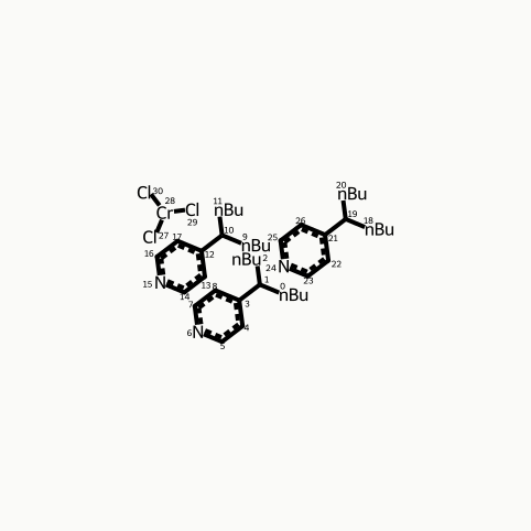 CCCCC(CCCC)c1ccncc1.CCCCC(CCCC)c1ccncc1.CCCCC(CCCC)c1ccncc1.[Cl][Cr]([Cl])[Cl]